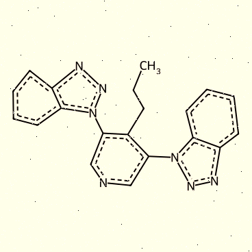 CCCc1c(-n2nnc3ccccc32)cncc1-n1nnc2ccccc21